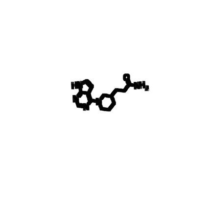 NC(=O)CCC1CCCN(c2ncnc3[nH]ccc23)C1